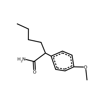 CCCCC(C(N)=O)c1ccc(OC)cc1